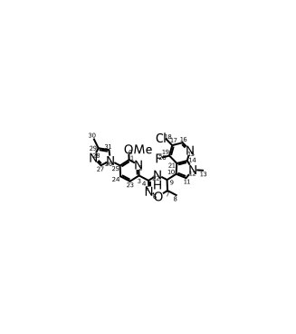 COc1nc(C2=NOC(C)C(c3cn(C)c4ncc(Cl)c(F)c34)N2)ccc1-n1cnc(C)c1